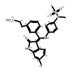 CN(c1ccc(NC(=C2C(=O)Nc3cc(F)ccc32)c2cccc(CCC(=O)O)c2)cc1)S(C)(=O)=O